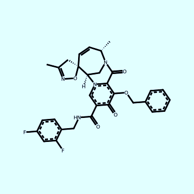 CC1=NO[C@]2(C=C[C@H](C)N3C[C@H]2n2cc(C(=O)NCc4ccc(F)cc4F)c(=O)c(OCc4ccccc4)c2C3=O)C1